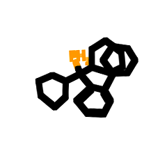 PC(c1ccccc1C1CCCCC1)(C1CCCCC1)C1CCCCC1